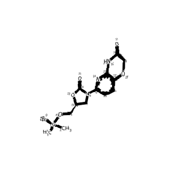 CC(C)(C)[Si](C)(C)OC[C@@H]1CN(c2ccc3c(n2)NC(=O)CO3)C(=O)O1